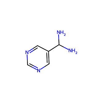 NC(N)c1cncnc1